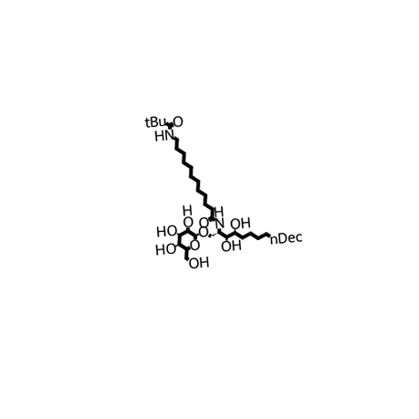 CCCCCCCCCCCCCC[C@@H](O)[C@@H](O)[C@H](CO[C@H]1OC(CO)[C@H](O)[C@H](O)C1O)NC(=O)CCCCCCCCCCCNC(=O)C(C)(C)C